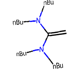 C=C(N(CCCC)CCCC)N(CCCC)CCCC